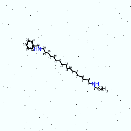 [SiH3]CNCCCCCCCCCCCCCCCCCCNCc1ccccc1